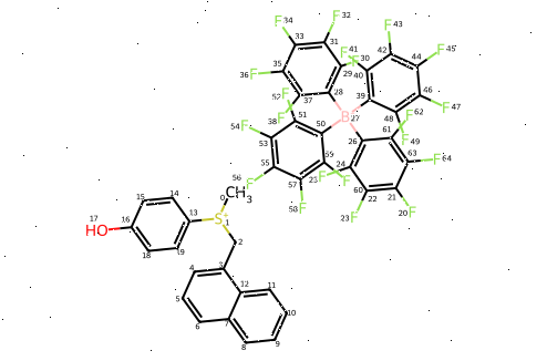 C[S+](Cc1cccc2ccccc12)c1ccc(O)cc1.Fc1c(F)c(F)c([B-](c2c(F)c(F)c(F)c(F)c2F)(c2c(F)c(F)c(F)c(F)c2F)c2c(F)c(F)c(F)c(F)c2F)c(F)c1F